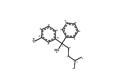 CN(C)CCC(O)(c1cccnc1)c1cccc(Cl)c1